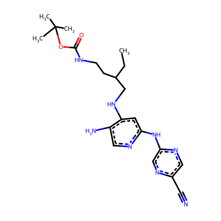 CCC(CCNC(=O)OC(C)(C)C)CNc1cc(Nc2cnc(C#N)cn2)ncc1N